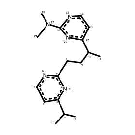 CC(C)c1ccnc(CCC(C)c2ccnc(N(C)C)n2)n1